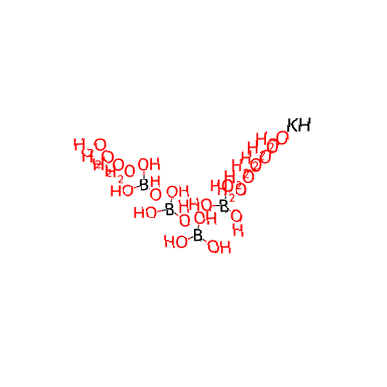 O.O.O.O.O.O.O.O.O.O.OB(O)O.OB(O)O.OB(O)O.OB(O)O.[KH]